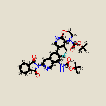 Cc1c(-c2cc3cc(N4C(=O)c5ccccc5C4=O)ncc3c(NC(=O)OC(C)(C)C)c2F)cnc2c1N(C(=O)OC(C)(C)C)CCO2